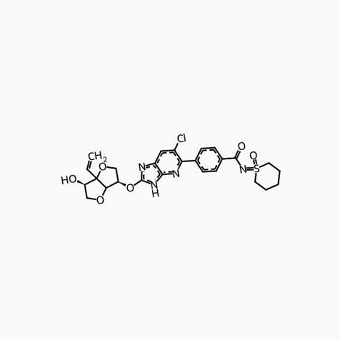 C=CC12OC[C@@H](Oc3nc4cc(Cl)c(-c5ccc(C(=O)N=S6(=O)CCCCC6)cc5)nc4[nH]3)C1OC[C@H]2O